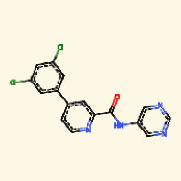 O=C(Nc1cncnc1)c1cc(-c2cc(Cl)cc(Cl)c2)ccn1